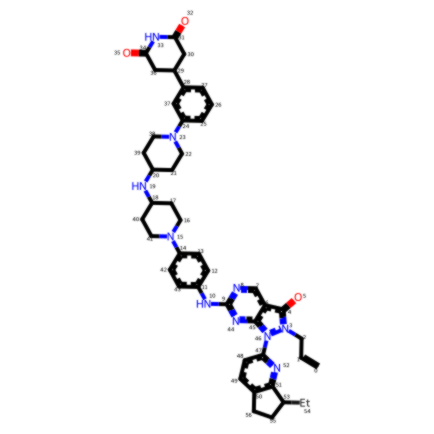 C=CCn1c(=O)c2cnc(Nc3ccc(N4CCC(NC5CCN(c6cccc(C7CC(=O)NC(=O)C7)c6)CC5)CC4)cc3)nc2n1-c1ccc2c(n1)C(CC)CC2